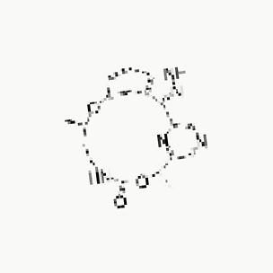 C[C@@H]1CCNC(=O)O[C@@H](C)c2cncc(n2)-c2n[nH]c3ccc(cc23)O1